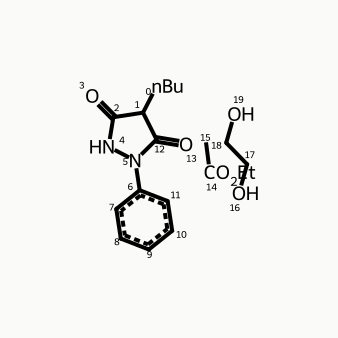 CCCCC1C(=O)NN(c2ccccc2)C1=O.CCOC(C)=O.OCCO